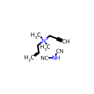 C#CC[N+](C)(C)CC=C.N#CNC#N